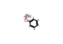 C[C]C(C)Oc1ccccc1